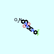 O=C(N1CCC2(CC1)CCN(c1ccc(F)c(F)c1)CC2)n1c(=O)ccc2cc([N+](=O)[O-])ccc21